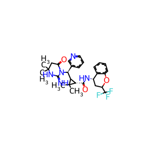 CC1(C)CC(=O)N([C@@H](c2cccnc2)C2[C@H](C(=O)N[C@H]3CC(C(F)(F)F)Oc4ccccc43)C2(C)C)C(=N)N1